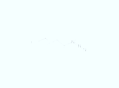 CCCCOCCN=[N+]=[N-]